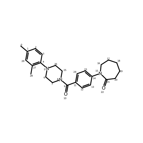 Cc1ccc(N2CCN(C(=O)c3ccc(N4CCCCCC4=O)cc3)CC2)c(C)c1